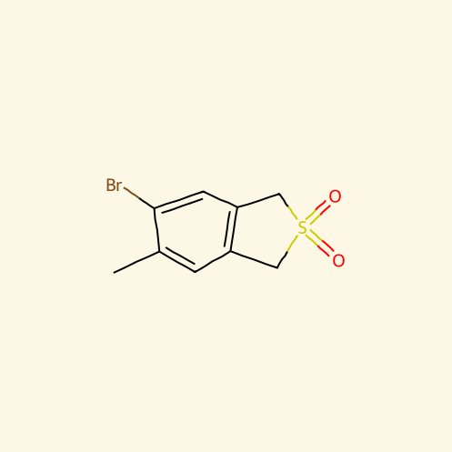 Cc1cc2c(cc1Br)CS(=O)(=O)C2